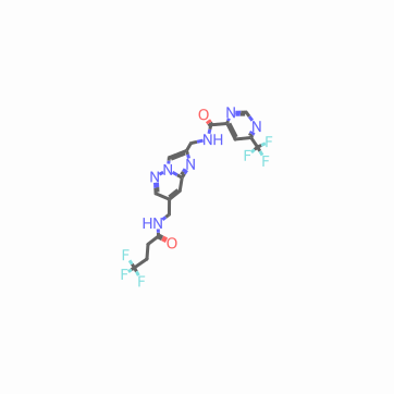 O=C(CCC(F)(F)F)NCc1cnn2cc(CNC(=O)c3cc(C(F)(F)F)ncn3)nc2c1